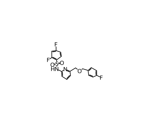 O=S(=O)(Nc1cccc(COCc2ccc(F)cc2)n1)c1ccc(F)cc1F